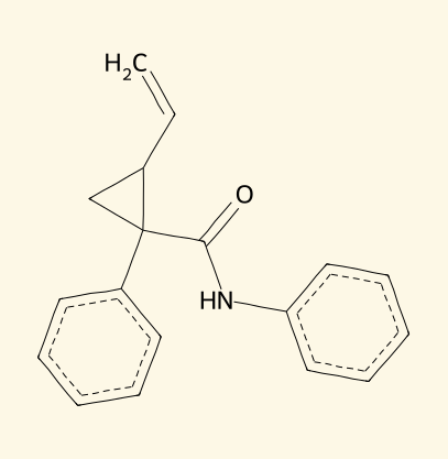 C=CC1CC1(C(=O)Nc1ccccc1)c1ccccc1